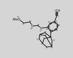 C#Cc1ccc(C23CC4CC(CC(C4)C2)C3)c(OCOCCOC)c1